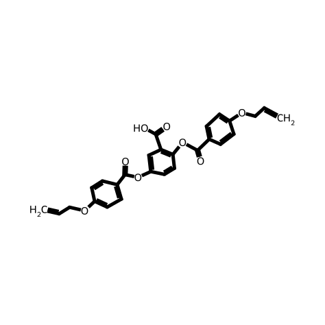 C=CCOc1ccc(C(=O)Oc2ccc(OC(=O)c3ccc(OCC=C)cc3)c(C(=O)O)c2)cc1